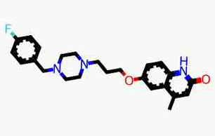 Cc1cc(=O)[nH]c2ccc(OCCCN3CCN(Cc4ccc(F)cc4)CC3)cc12